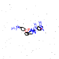 NC1CCC(Oc2cccc3cnc(Nc4ccc5nc[nH]c5c4)nc23)CC1